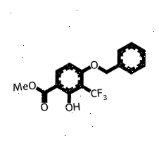 COC(=O)c1ccc(OCc2ccccc2)c(C(F)(F)F)c1O